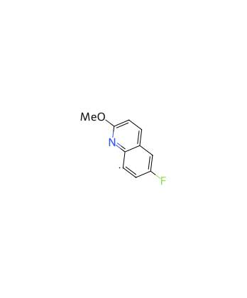 COc1ccc2cc(F)c[c]c2n1